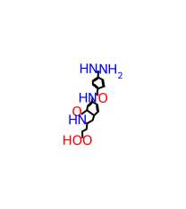 N=C(N)c1ccc(C(=O)NC2=CC3C(=O)NC(CCC(=O)O)CC3C=C2)cc1